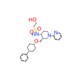 O=S(=O)(CCO)NC1CCN(c2ccccn2)C[C@H]1COC1CCC(c2ccccc2)CC1